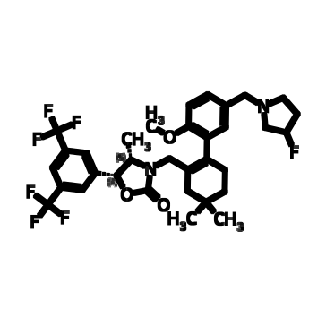 COc1ccc(CN2CCC(F)C2)cc1C1=C(CN2C(=O)O[C@H](c3cc(C(F)(F)F)cc(C(F)(F)F)c3)[C@@H]2C)CC(C)(C)CC1